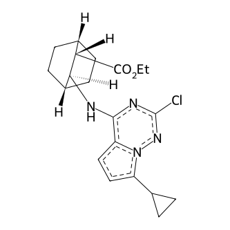 CCOC(=O)[C@H]1[C@H]2CC[C@H](CC2)[C@@H]1Nc1nc(Cl)nn2c(C3CC3)ccc12